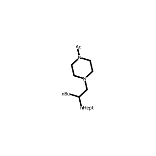 CCCCCCCC(CCCC)CN1CCN(C(C)=O)CC1